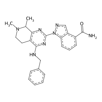 CC1c2nc(-n3ncc4c(C(N)=O)cccc43)nc(NCc3ccccc3)c2CCN1C